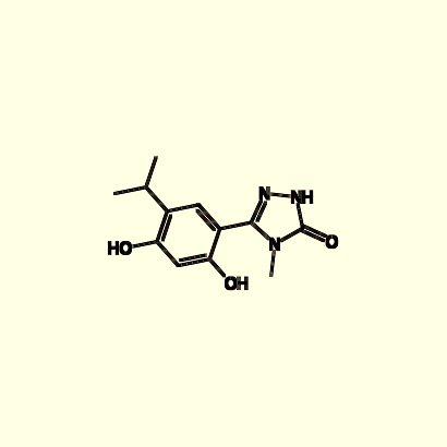 CC(C)c1cc(-c2n[nH]c(=O)n2C)c(O)cc1O